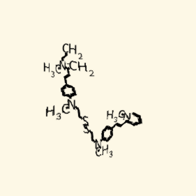 C=C/C=[N+](/C)C(=C)/C=C/c1ccc(N(C)CCSSCCN(C)c2ccc(/C=C/c3cccc[n+]3C)cc2)cc1